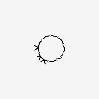 CC1(C)COCCOCCOCCOCCOC(C)(C)C(C)(C)O1